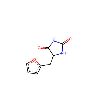 O=C1NC(=O)C(Cc2ccco2)N1